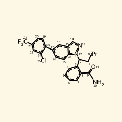 CC(C)CC(c1ccccc1C(N)=O)n1ncc2cc(-c3ccc(C(F)(F)F)cc3Cl)ccc21